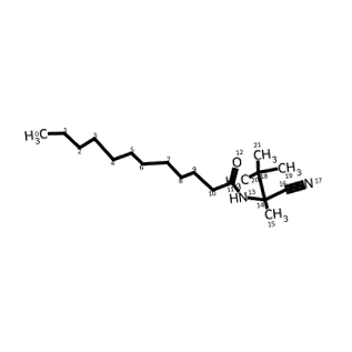 CCCCCCCCCCCC(=O)NC(C)(C#N)C(C)(C)C